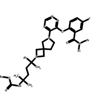 CCN(C(=O)c1cc(F)ccc1Oc1nncnc1N1CCC2(C1)CN(C(C)(CCC(C)(C)NC(=O)OC(C)(C)C)C(C)C)C2)C(C)C